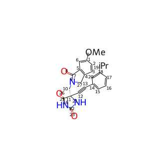 COc1ccc2c(c1)C(=O)N(C[C@]1(C#Cc3cccc(C(C)C)c3)NC(=O)NC1=O)C2